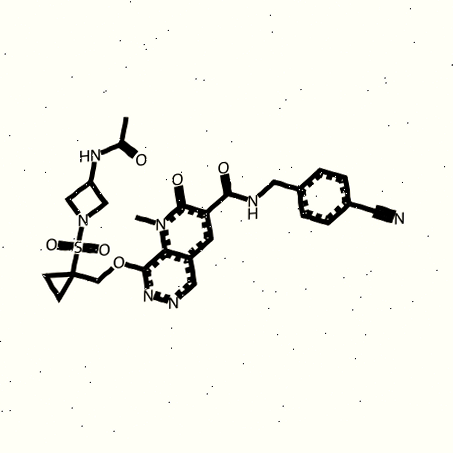 CC(=O)NC1CN(S(=O)(=O)C2(COc3nncc4cc(C(=O)NCc5ccc(C#N)cc5)c(=O)n(C)c34)CC2)C1